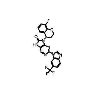 O=c1[nH]c2cnc(-n3cnc4ccc(C(F)(F)F)cc43)nc2n1[C@@H]1CCOc2c(F)cccc21